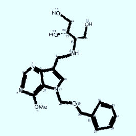 COc1ncnc2c(CN[C@H](CO)[C@H](O)CO)cn(COCc3ccccc3)c12